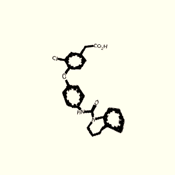 O=C(O)Cc1ccc(Oc2ccc(NC(=O)N3CCCc4ccccc43)cc2)c(Cl)c1